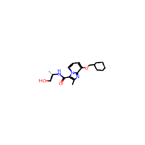 Cc1nc2c(OCC3CCCCC3)cccn2c1C(=O)N[C@@H](C)CO